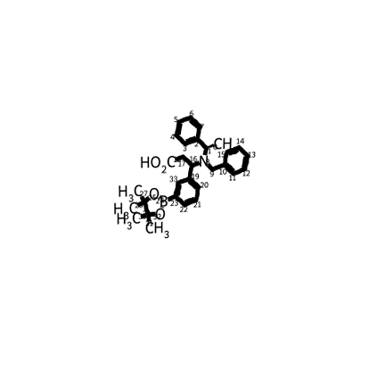 C[C@H](c1ccccc1)N(Cc1ccccc1)C(CC(=O)O)c1cccc(B2OC(C)(C)C(C)(C)O2)c1